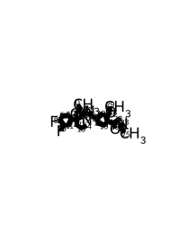 CCOC1(c2ccc(F)c(F)c2)CCCn2c(-c3ccc(-c4cnc(C)o4)c(OC)c3)nnc21